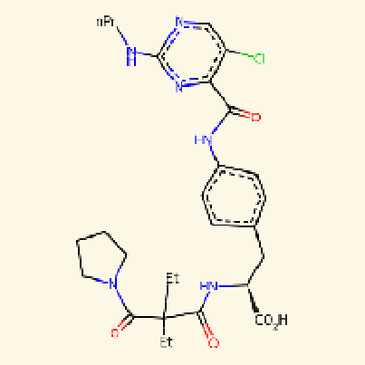 CCCNc1ncc(Cl)c(C(=O)Nc2ccc(C[C@H](NC(=O)C(CC)(CC)C(=O)N3CCCC3)C(=O)O)cc2)n1